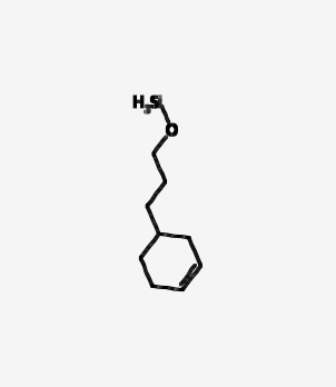 [SiH3]OCCCC1CC=CCC1